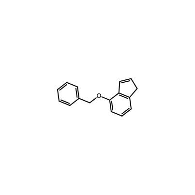 C1=Cc2c(cccc2OCc2ccccc2)C1